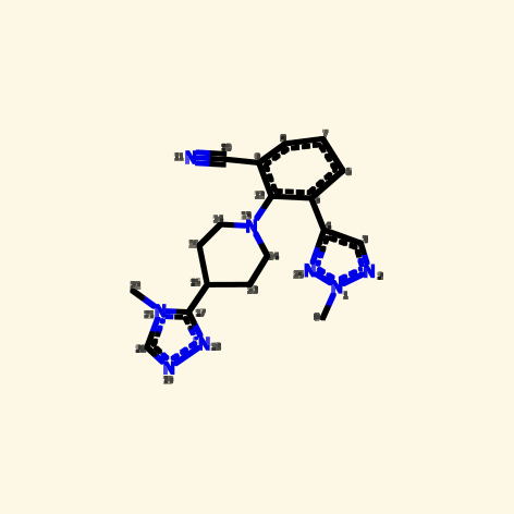 Cn1ncc(-c2cccc(C#N)c2N2CCC(c3nncn3C)CC2)n1